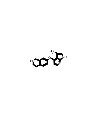 Cc1c[nH]c2nccc(Oc3ccc4c(c3)CNCC4)c12